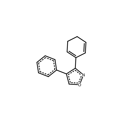 C1=CC(c2nocc2-c2ccccc2)=CCC1